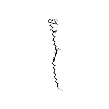 Br.CCCCCCCCCCCCC#CC#CCCCCCCCCC(=O)NCC[N+](CC)(CC)CC